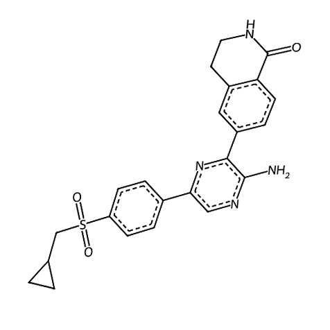 Nc1ncc(-c2ccc(S(=O)(=O)CC3CC3)cc2)nc1-c1ccc2c(c1)CCNC2=O